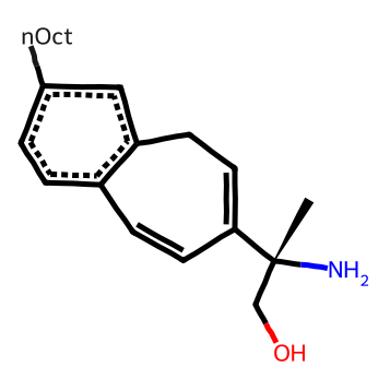 CCCCCCCCc1ccc2c(c1)CC=C([C@](C)(N)CO)C=C2